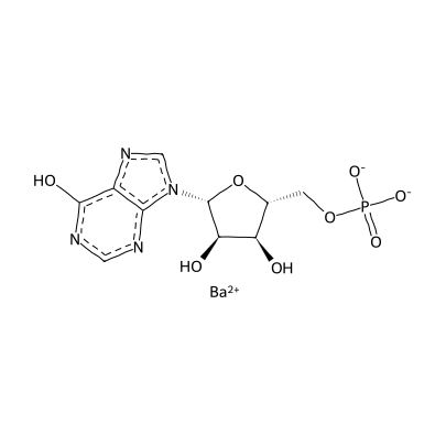 O=P([O-])([O-])OC[C@H]1O[C@@H](n2cnc3c(O)ncnc32)[C@H](O)[C@@H]1O.[Ba+2]